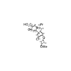 CO[C@H]1C[C@H](Oc2cc3c(cc2Cl)-c2cc(=O)c(C(=O)O)cn2[C@H](C(C)C)C3)C1